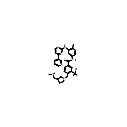 Cc1ccc(NC(=O)c2ccc(CN3CCC(CN(C)C)C3)c(C(F)(F)F)c2)cc1Nc1nccc(-c2cccnc2)n1